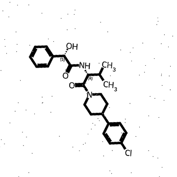 CC(C)[C@@H](NC(=O)[C@@H](O)c1ccccc1)C(=O)N1CCC(c2ccc(Cl)cc2)CC1